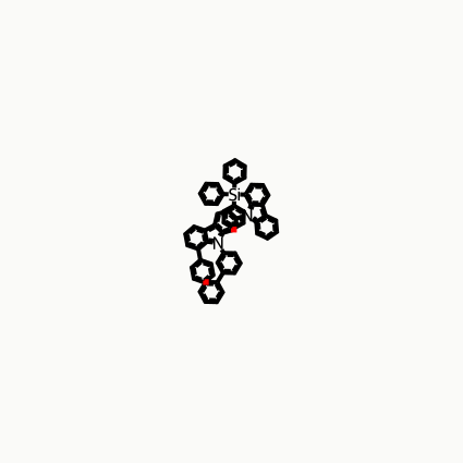 c1ccc(-c2cccc(-n3c4cc(-n5c6ccccc6c6cccc([Si](c7ccccc7)(c7ccccc7)c7ccccc7)c65)ccc4c4cccc(-c5ccccc5)c43)c2)cc1